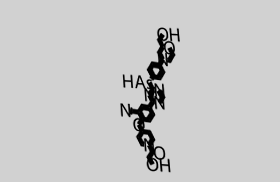 N#Cc1cc(-c2ncnc([AsH]c3ccc(N4CCOC(CO)C4)cc3)n2)ccc1OC1CCN(C(=O)CO)CC1